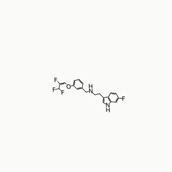 F/C(=C/Oc1cccc(CNCCc2c[nH]c3cc(F)ccc23)c1)C(F)F